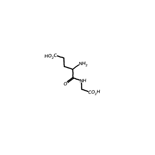 NC(CCC(=O)O)C(=O)NCC(=O)O